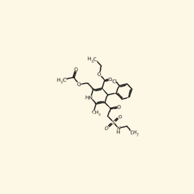 CCNS(=O)(=O)CC(=O)C1=C(C)NC(COC(C)=O)=C(C(=O)OCC)C1c1ccccc1Cl